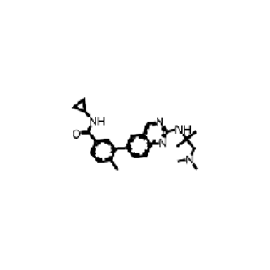 Cc1ccc(C(=O)NC2CC2)cc1-c1ccc2nc(NC(C)(C)CN(C)C)ncc2c1